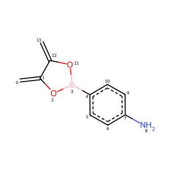 C=C1OB(c2ccc(N)cc2)OC1=C